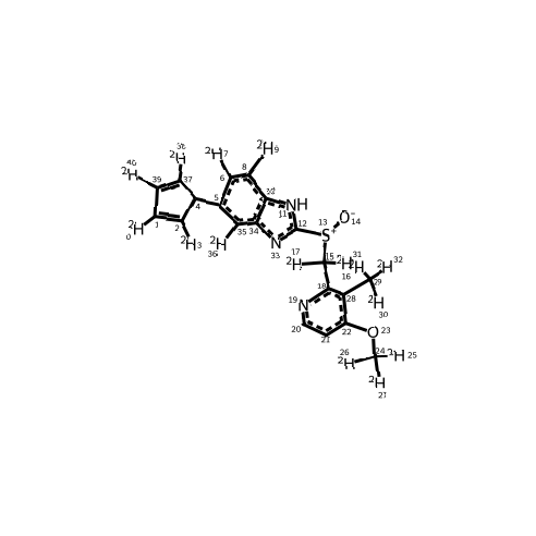 [2H]C1=C([2H])C(c2c([2H])c([2H])c3[nH]c([S+]([O-])C([2H])([2H])c4nccc(OC([2H])([2H])[2H])c4C([2H])([2H])[2H])nc3c2[2H])C([2H])=C1[2H]